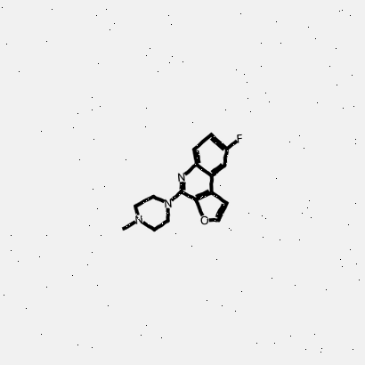 CN1CCN(c2nc3ccc(F)cc3c3ccoc23)CC1